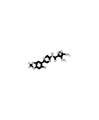 Cc1onc(C(=O)Nc2cnc(-c3cc4c(cc3Cl)OC(F)(F)O4)cn2)c1C